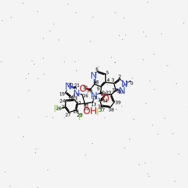 Cn1cc(-c2ccnc3c2C(=O)N(CC(O)(Cn2ccnc2)c2ccc(F)cc2F)C3=O)c(-c2ccc(F)cc2)n1